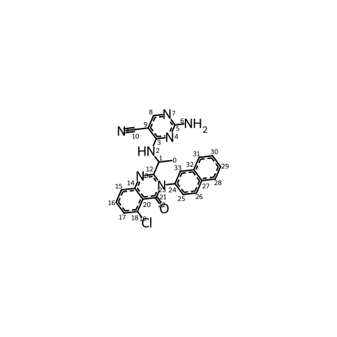 CC(Nc1nc(N)ncc1C#N)c1nc2cccc(Cl)c2c(=O)n1-c1ccc2ccccc2c1